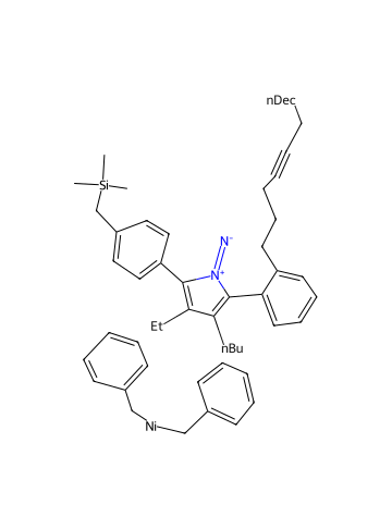 CCCCCCCCCCCC#CCCCc1ccccc1C1=C(CCCC)C(CC)=C(c2ccc(C[Si](C)(C)C)cc2)[N+]1=[N-].c1ccc([CH2][Ni][CH2]c2ccccc2)cc1